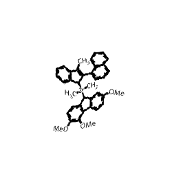 COc1ccc2c(c1)[CH]([Zr]([CH3])([CH3])[CH]1C(c3cccc4ccccc34)=C(C)c3ccccc31)c1ccc(OC)c(OC)c1-2